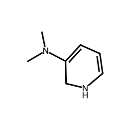 CN(C)C1=CC=CNC1